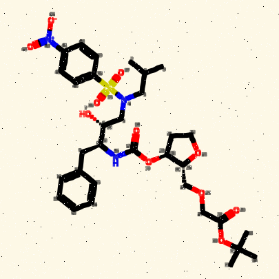 CC(C)CN(C[C@@H](O)[C@H](Cc1ccccc1)NC(=O)O[C@H]1CCO[C@@H]1COCC(=O)OC(C)(C)C)S(=O)(=O)c1ccc([N+](=O)[O-])cc1